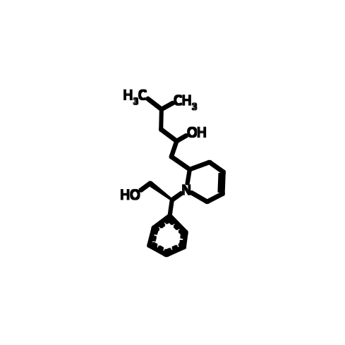 CC(C)CC(O)CC1CC=CCN1[C@H](CO)c1ccccc1